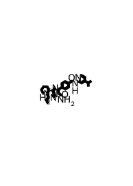 CC=CN1CCCC[C@H]1c1nc(-c2ccc(C(=O)Nc3cc(C(C)C)ccn3)cc2)c(C(N)=O)n1N